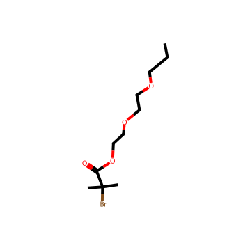 CCCOCCOCCOC(=O)C(C)(C)Br